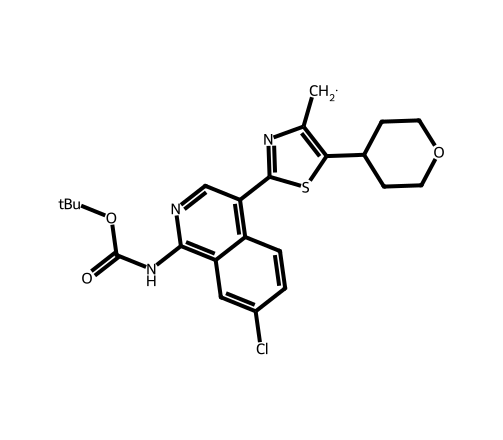 [CH2]c1nc(-c2cnc(NC(=O)OC(C)(C)C)c3cc(Cl)ccc23)sc1C1CCOCC1